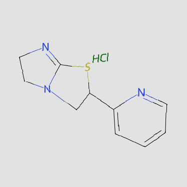 Cl.c1ccc(C2CN3CCN=C3S2)nc1